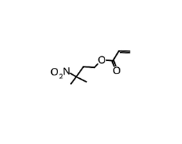 C=CC(=O)OCCC(C)(C)[N+](=O)[O-]